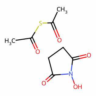 CC(=O)SC(C)=O.O=C1CCC(=O)N1O